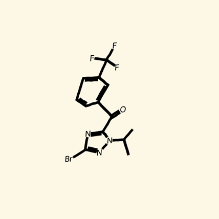 CC(C)n1nc(Br)nc1C(=O)c1cccc(C(F)(F)F)c1